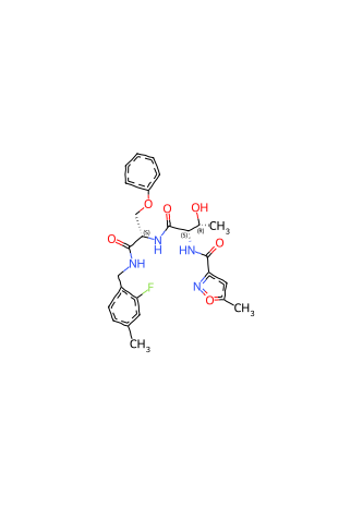 Cc1ccc(CNC(=O)[C@H](COc2ccccc2)NC(=O)[C@@H](NC(=O)c2cc(C)on2)[C@@H](C)O)c(F)c1